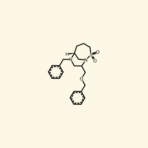 O=S1(=O)CCC[C@@H]2CN1C(COCc1ccccc1)CN2Cc1ccccc1